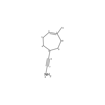 CC1=CCCC(C#CN)CC1